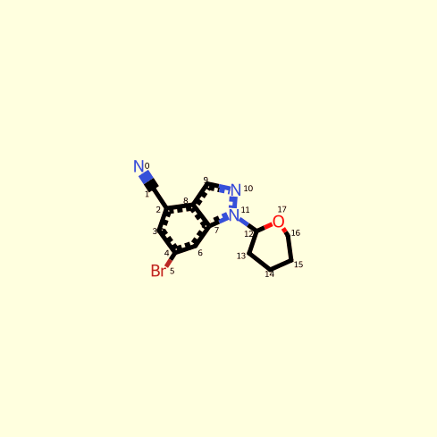 N#Cc1cc(Br)cc2c1cnn2C1CCCCO1